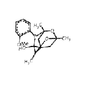 COc1ccccc1P1C2(C)CC34CC(C)(O2)OC3(C)C14O